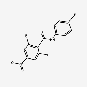 O=C(Nc1ccc(F)cc1)c1c(F)cc([N+](=O)[O-])cc1F